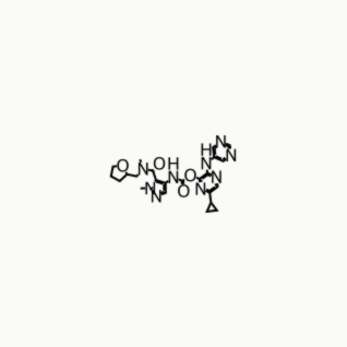 CN(CC1CCCO1)C(=O)c1c(NC(=O)Oc2nc(C3CC3)cnc2Nc2cncnc2)cnn1C